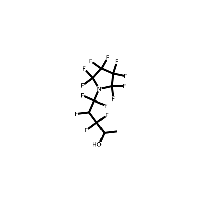 CC(O)C(F)(F)C(F)C(F)(F)N1C(F)(F)C(F)(F)C(F)(F)C1(F)F